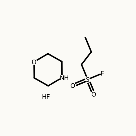 C1COCCN1.CCCS(=O)(=O)F.F